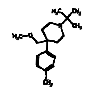 COCC1(c2ccc(C)cc2)CCN(C(C)(C)C)CC1